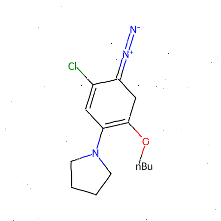 CCCCOC1=C(N2CCCC2)C=C(Cl)C(=[N+]=[N-])C1